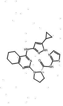 O=C(Nc1nccs1)[C@@H]1CCCN1c1nc2c(c(Nc3cc(C4CC4)[nH]n3)n1)CCCC2